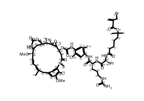 C=C(CBr)C(=O)OC(C)(C)CCCCC(=O)N[C@H](C(=O)N[C@@H](CCCNC(N)=O)C(=O)Nc1cc(Cl)c(NC(=O)O[C@H]2CC(=O)N(C)c3cc(cc(OC)c3Cl)C/C(C)=C/C=C/[C@@H](OC)[C@@]3(O)C[C@H](OC(=O)N3)[C@@H](C)[C@@H]3O[C@@]23C)cc1F)C(C)C